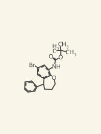 CC(C)(C)OC(=O)Nc1cc(Br)cc2c1OCCCC2c1ccccc1